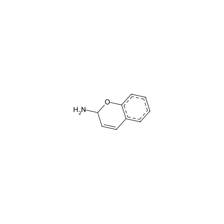 NC1C=Cc2ccccc2O1